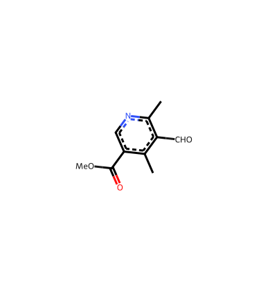 COC(=O)c1cnc(C)c(C=O)c1C